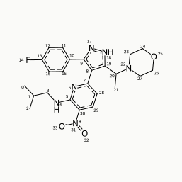 CC(C)CNc1nc(-c2c(-c3ccc(F)cc3)n[nH]c2C(C)N2CCOCC2)ccc1[N+](=O)[O-]